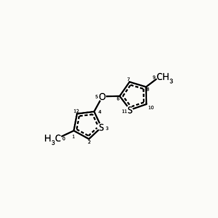 Cc1csc(Oc2cc(C)cs2)c1